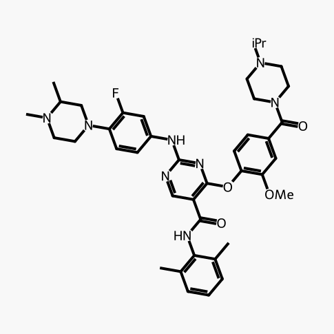 COc1cc(C(=O)N2CCN(C(C)C)CC2)ccc1Oc1nc(Nc2ccc(N3CCN(C)C(C)C3)c(F)c2)ncc1C(=O)Nc1c(C)cccc1C